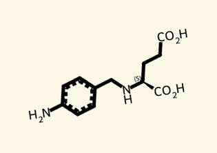 Nc1ccc(CN[C@@H](CCC(=O)O)C(=O)O)cc1